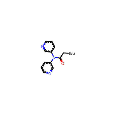 CC(C)(C)CC(=O)N(c1cccnc1)c1cccnc1